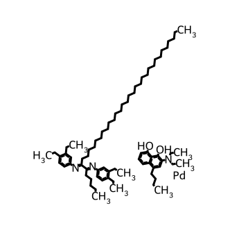 CCCCCCCCCCCCCCCCCCCCCCCCCCCCCCC(=Nc1ccc(CC)c(CC)c1)C(CCCCC)=Nc1ccc(CC)c(CC)c1.CCCCc1cc(N(CC)CC)c(O)c2c(O)cccc12.[Pd]